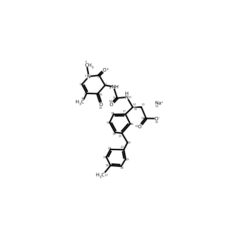 CC1=CN(C)C(=O)C(NC(=O)N[C@@H](CC(=O)[O-])c2cccc(Cc3ccc(C)cc3)c2)C1=O.[Na+]